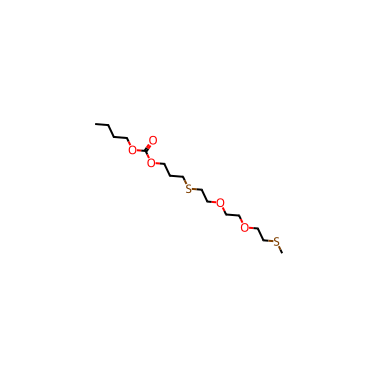 CCCCOC(=O)OCCCSCCOCCOCCSC